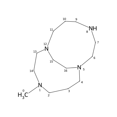 CN1CCCN2CCNCCCN(CC1)CC2